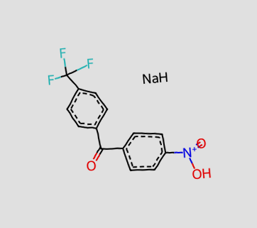 O=C(c1ccc([N+](=O)O)cc1)c1ccc(C(F)(F)F)cc1.[NaH]